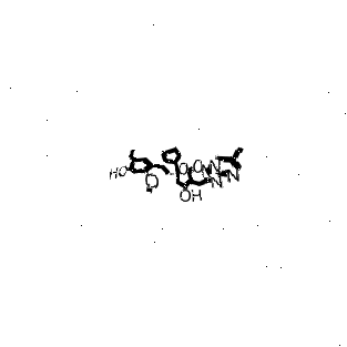 CCc1cc(CC[C@@]2(C3CCCC3)CC(O)=C(Cc3nc4ncc(C)cn4n3)C(=O)O2)c(OC)cc1O